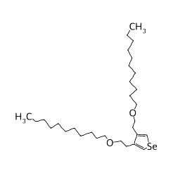 CCCCCCCCCCCOCCc1c[se]cc1CCOCCCCCCCCCCC